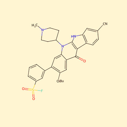 CC(C)COc1cc2c(=O)c3c4ccc(C#N)cc4[nH]c3n(C3CCN(C)CC3)c2cc1-c1cccc(S(=O)(=O)F)c1